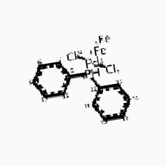 [Cl][Pd][Cl].[Fe].[Fe].c1ccc(Pc2ccccc2)cc1